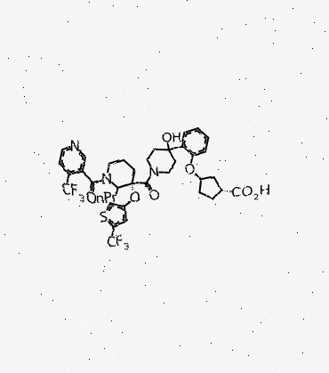 CCC[C@H]1N(C(=O)c2cnccc2C(F)(F)F)CCC[C@@]1(Oc1csc(C(F)(F)F)c1)C(=O)N1CCC(O)(c2ccccc2O[C@@H]2CC[C@@H](C(=O)O)C2)CC1